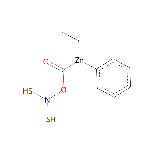 C[CH2][Zn]([C](=O)ON(S)S)[c]1ccccc1